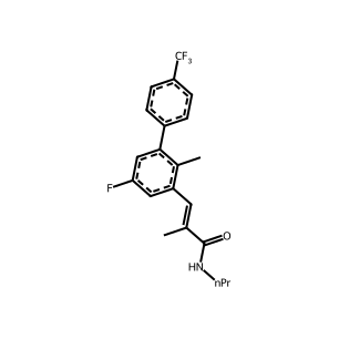 CCCNC(=O)/C(C)=C/c1cc(F)cc(-c2ccc(C(F)(F)F)cc2)c1C